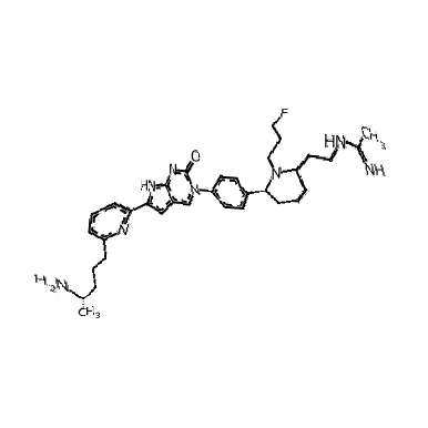 CC(=N)NCCC1CCC[C@@H](c2ccc(-n3cc4cc(-c5cccc(CCC[C@H](C)N)n5)[nH]c4nc3=O)cc2)N1CCCF